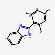 Cc1cc(C)c(-c2nc3ccccc3[nH]2)c(C)c1